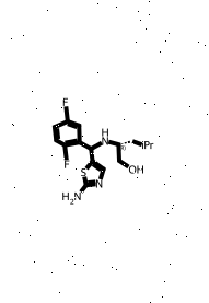 CC(C)C[C@H](CO)NC(c1cnc(N)s1)c1cc(F)ccc1F